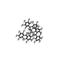 Fc1c(F)c(F)c(-c2nn(B(n3nc(-c4c(F)c(F)c(F)c(F)c4F)c4c(F)c(F)c(F)c(F)c43)n3nc(-c4c(F)c(F)c(F)c(F)c4F)c4c(F)c(F)c(F)c(F)c43)c3c(F)c(F)c(F)c(F)c23)c(F)c1F